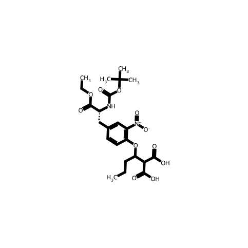 CCCC(Oc1ccc(C[C@@H](NC(=O)OC(C)(C)C)C(=O)OCC)cc1[N+](=O)[O-])C(C(=O)O)C(=O)O